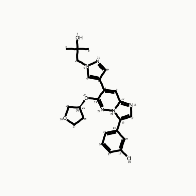 CC(C)(O)Cn1cc(-c2cc3ncc(-c4cccc(Cl)c4)n3nc2O[C@H]2CCOC2)cn1